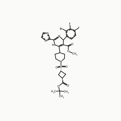 COC(=O)C1=C(C2CCN(S(=O)(=O)[C@H]3C[C@H](C(=O)OC(C)(C)C)C3)CC2)NC(c2nccs2)=NC1c1ccc(F)c(F)c1Br